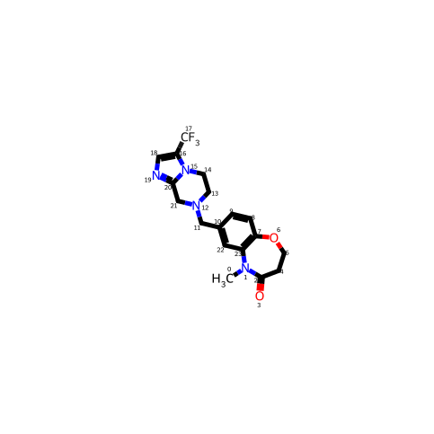 CN1C(=O)CCOc2ccc(CN3CCn4c(C(F)(F)F)cnc4C3)cc21